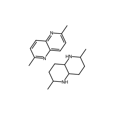 CC1CCC2NC(C)CCC2N1.Cc1ccc2nc(C)ccc2n1